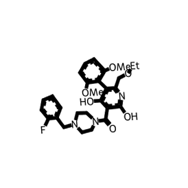 CCOCc1nc(O)c(C(=O)N2CCN(Cc3ccccc3F)CC2)c(O)c1-c1c(OC)cccc1OC